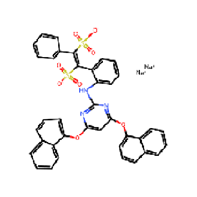 O=S(=O)([O-])C(=C(c1ccccc1Nc1nc(Oc2cccc3ccccc23)cc(Oc2cccc3ccccc23)n1)S(=O)(=O)[O-])c1ccccc1.[Na+].[Na+]